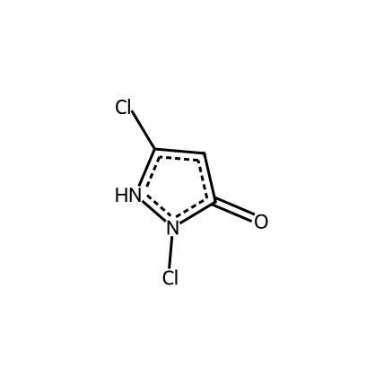 O=c1cc(Cl)[nH]n1Cl